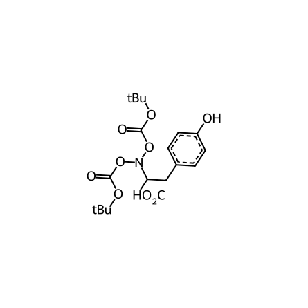 CC(C)(C)OC(=O)ON(OC(=O)OC(C)(C)C)C(Cc1ccc(O)cc1)C(=O)O